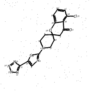 O=C1CC2(CCN(c3ncc(C4=N[N]N=N4)s3)CC2)Oc2cccc(Cl)c21